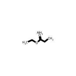 CCOC(=O)CC.[AlH3]